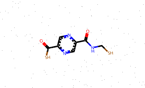 O=C(S)c1cnc(C(=O)NCS)cn1